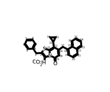 O=C(O)c1c(Cc2ccccc2)sc2c(C3CC3)c(Cc3cccc4ccccc34)cc(=O)n12